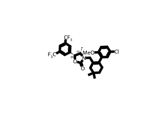 COc1ccc(Cl)cc1C1=C(CN2C(=O)O[C@H](c3cc(C(F)(F)F)cc(C(F)(F)F)c3)[C@@H]2C)CC(C)(C)CC1